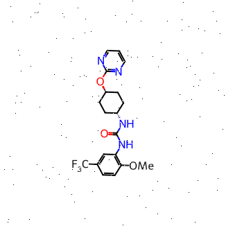 COc1ccc(C(F)(F)F)cc1NC(=O)N[C@H]1CC[C@H](Oc2ncccn2)CC1